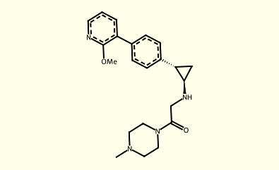 COc1ncccc1-c1ccc([C@@H]2C[C@H]2NCC(=O)N2CCN(C)CC2)cc1